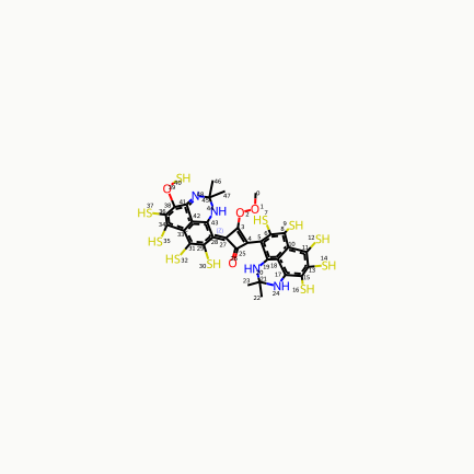 COOC1=C(c2c(S)c(S)c3c(S)c(S)c(S)c4c3c2NC(C)(C)N4)C(=O)/C1=c1\c(S)c(S)c2c(S)c(S)c(OS)c3c2c1NC(C)(C)N=3